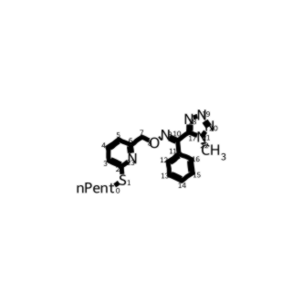 CCCCCSc1cccc(CO/N=C(\c2ccccc2)c2nnnn2C)n1